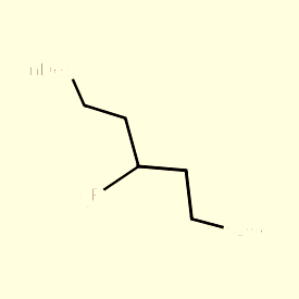 CCCCCCCCCCCCC(P)CCCCCCCCCCCC